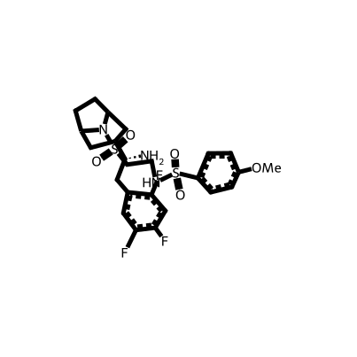 COc1ccc(S(=O)(=O)NCCS(=O)(=O)N2C3CCC2CC([C@H](N)Cc2cc(F)c(F)cc2F)C3)cc1